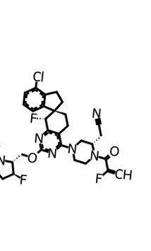 C=C(F)C(=O)N1CCN(c2nc(OC[C@@H]3[C@@H](F)CCN3C)nc3c2CC[C@@]2(CCc4c(Cl)cccc42)[C@H]3F)C[C@@H]1CC#N